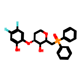 O=P(CC1OCC[C@@H](Oc2cc(F)c(F)cc2O)[C@@H]1O)(c1ccccc1)c1ccccc1